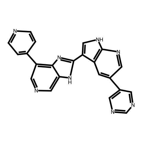 c1cc(-c2cncc3[nH]c(-c4c[nH]c5ncc(-c6cncnc6)cc45)nc23)ccn1